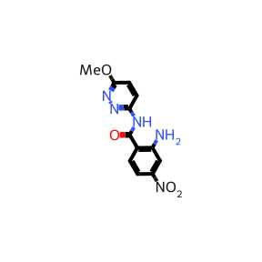 COc1ccc(NC(=O)c2ccc([N+](=O)[O-])cc2N)nn1